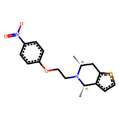 C[C@@H]1Cc2sccc2[C@H](C)N1CCOc1ccc([N+](=O)[O-])cc1